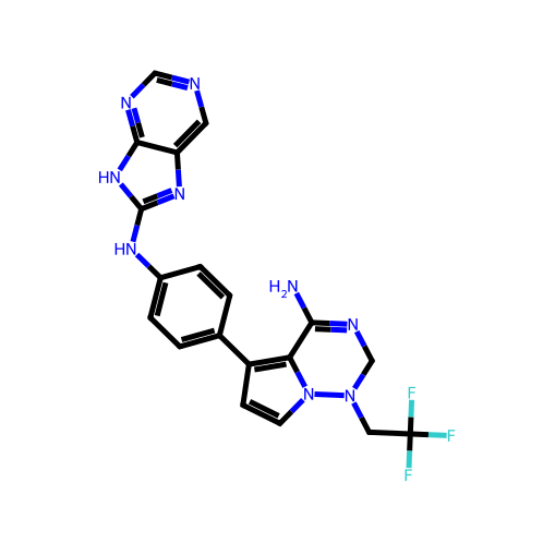 NC1=NCN(CC(F)(F)F)n2ccc(-c3ccc(Nc4nc5cncnc5[nH]4)cc3)c21